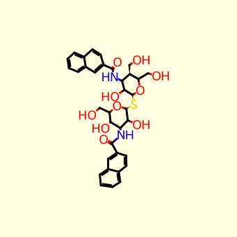 O=C(NC1C(O)[C@H](S[C@@H]2OC(CO)[C@H](CO)C(NC(=O)c3ccc4ccccc4c3)C2O)OC(CO)[C@@H]1O)c1ccc2ccccc2c1